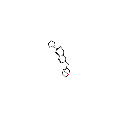 c1cc2cc([S+]3CCCC3)ccc2cc1SC1CC2CCC1CC2